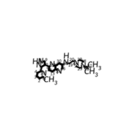 Cc1cccc(-c2n[nH]cc2-c2ccc3ncc(NCCN4CCN(C(C)C)CC4)cc3n2)n1